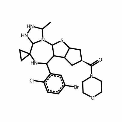 CC1NNC2N1C1SC3C[C@@H](C(=O)N4CCOCC4)CC3C1C(c1cc(Br)ccc1Cl)NC21CC1